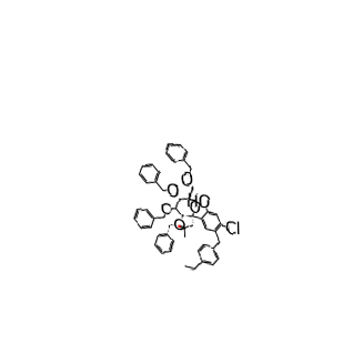 C=C(C)C[C@@]1(c2cc(Cc3ccc(CC)cc3)c(Cl)cc2O)O[C@H](COCc2ccccc2)[C@@H](OCc2ccccc2)[C@H](OCc2ccccc2)[C@H]1OCc1ccccc1